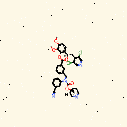 COc1ccc([C@H](Cc2c(Cl)cncc2Cl)OC(=O)c2cccc(CN(C(=O)O[C@H]3CN4CCC3CC4)c3cccc(C#N)c3)c2)cc1OC